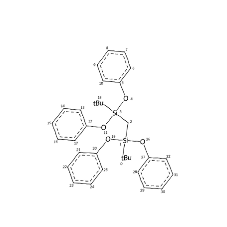 CC(C)(C)[Si](C[Si](Oc1ccccc1)(Oc1ccccc1)C(C)(C)C)(Oc1ccccc1)Oc1ccccc1